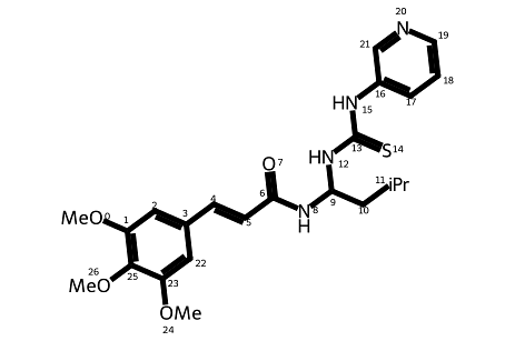 COc1cc(C=CC(=O)NC(CC(C)C)NC(=S)Nc2cccnc2)cc(OC)c1OC